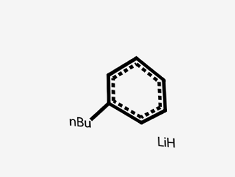 CCCCc1ccccc1.[LiH]